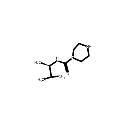 CC(C)[C@@H](C)NC(=O)N1CCNCC1